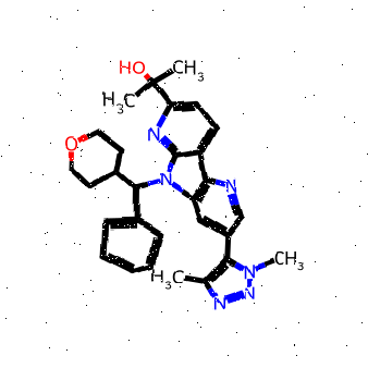 Cc1nnn(C)c1-c1cnc2c3ccc(C(C)(C)O)nc3n(C(c3ccccc3)C3CCOCC3)c2c1